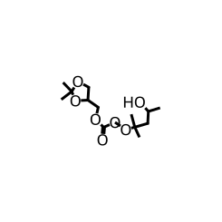 CC(O)CC(C)(C)OOC(=O)OCC1COC(C)(C)O1